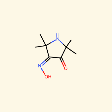 CC1(C)NC(C)(C)C(=NO)C1=O